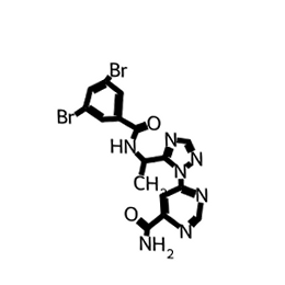 CC(NC(=O)c1cc(Br)cc(Br)c1)c1ncnn1-c1cc(C(N)=O)ncn1